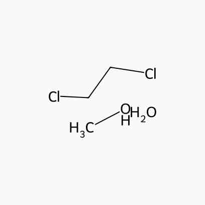 CO.ClCCCl.O